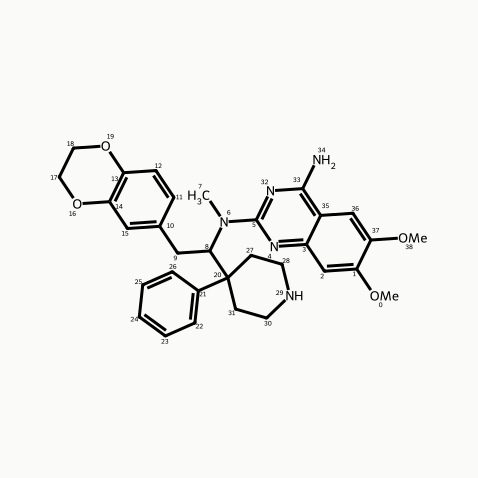 COc1cc2nc(N(C)C(Cc3ccc4c(c3)OCCO4)C3(c4ccccc4)CCNCC3)nc(N)c2cc1OC